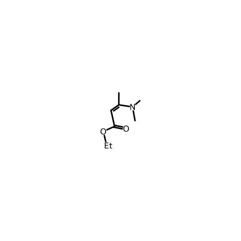 CCOC(=O)C=C(C)N(C)C